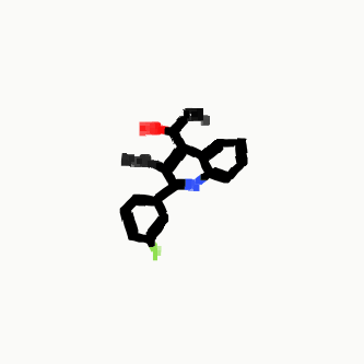 COc1c(-c2cccc(F)c2)nc2ccccc2c1C(C)O